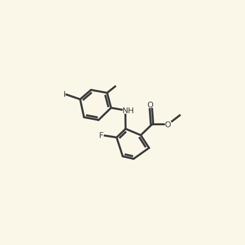 COC(=O)c1cccc(F)c1Nc1ccc(I)cc1C